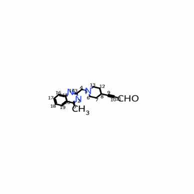 Cc1nc(CN2CCC(C#CC=O)CC2)nc2ccccc12